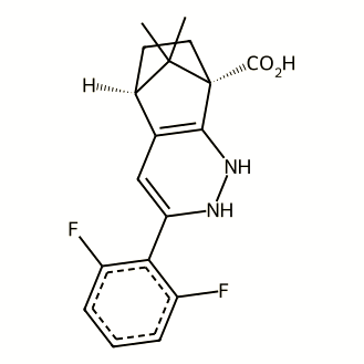 CC1(C)[C@@H]2CC[C@@]1(C(=O)O)C1=C2C=C(c2c(F)cccc2F)NN1